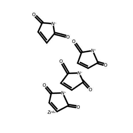 O=C1C=CC(=O)[N-]1.O=C1C=CC(=O)[N-]1.O=C1C=CC(=O)[N-]1.O=C1C=CC(=O)[N-]1.[Zr+4]